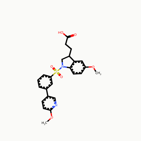 COc1ccc2c(c1)C(CCC(=O)O)CN2S(=O)(=O)c1cccc(-c2ccc(OC)nc2)c1